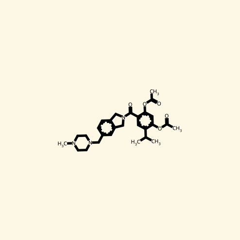 CC(=O)Oc1cc(OC(C)=O)c(C(C)C)cc1C(=O)N1Cc2ccc(CN3CCN(C)CC3)cc2C1